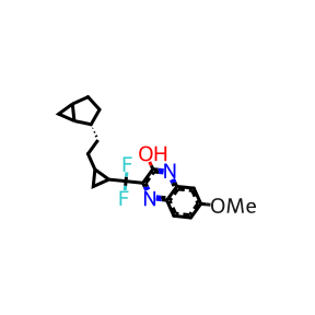 COc1ccc2nc(C(F)(F)C3CC3CC[C@H]3CCC4CC43)c(O)nc2c1